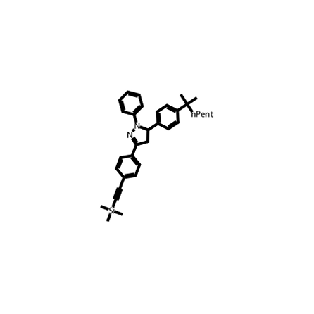 CCCCCC(C)(C)c1ccc(C2CC(c3ccc(C#C[Si](C)(C)C)cc3)=NN2c2ccccc2)cc1